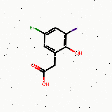 O=C(O)Cc1cc(Br)cc(I)c1O